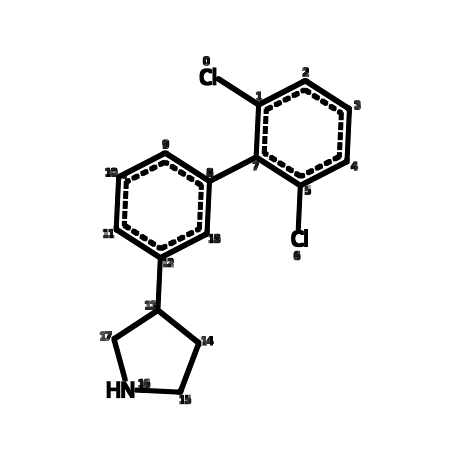 Clc1cccc(Cl)c1-c1c[c]cc(C2CCNC2)c1